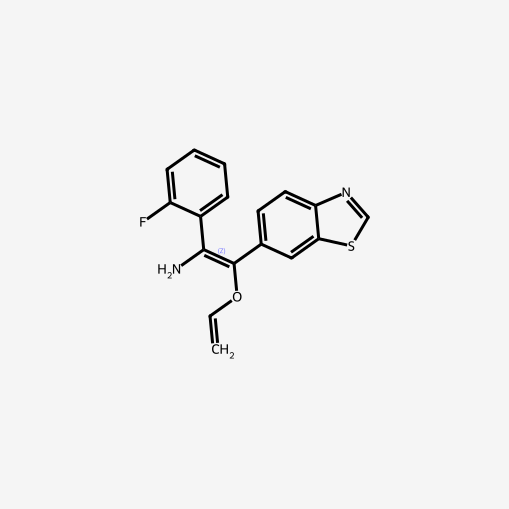 C=CO/C(=C(\N)c1ccccc1F)c1ccc2ncsc2c1